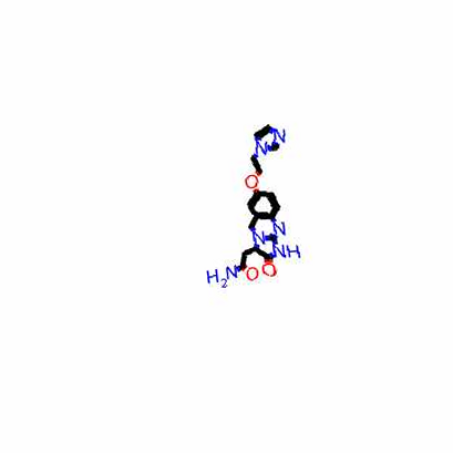 NC(=O)CC1C(=O)NC2=Nc3ccc(OCCn4ccnc4)cc3CN21